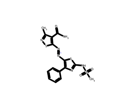 Cc1nsc(/N=N/c2sc(NS(C)(=O)=O)nc2-c2ccccc2)c1C(N)=O